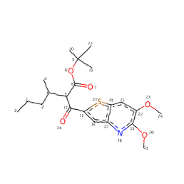 CCCC(C)C(C(=O)OC(C)(C)C)C(=O)c1cc2nc(OC)c(OC)cc2s1